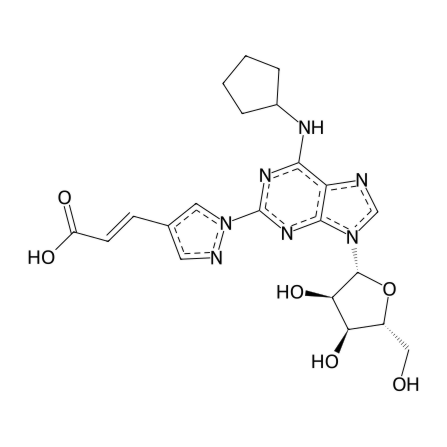 O=C(O)/C=C/c1cnn(-c2nc(NC3CCCC3)c3ncn([C@@H]4O[C@H](CO)[C@@H](O)[C@H]4O)c3n2)c1